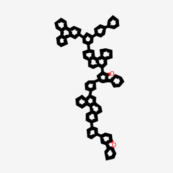 c1ccc(-c2ccc(-c3cc(-c4ccc5c6ccccc6c6ccccc6c5c4)cc(-c4ccc5ccc6c(-c7cc(-c8cccc(-c9cc%10ccc%11cc(-c%12cccc(-c%13ccc%14oc%15ccccc%15c%14c%13)c%12)ccc%11c%10c%10ccccc9%10)c8)cc8c7oc7ccccc78)cc7ccccc7c6c5c4)c3)cc2)cc1